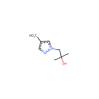 CC(C)(O)Cn1cc(C(=O)O)cn1